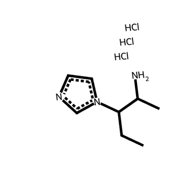 CCC(C(C)N)n1ccnc1.Cl.Cl.Cl